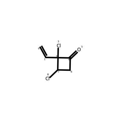 C=CC1(Cl)C(=O)CC1Cl